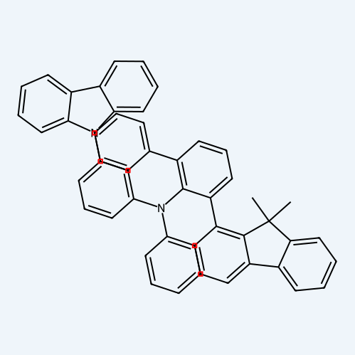 CC1(C)c2ccccc2-c2cccc(-c3cccc(-c4ccccc4)c3N(c3ccccc3)c3cccc(-n4c5ccccc5c5ccccc54)c3)c21